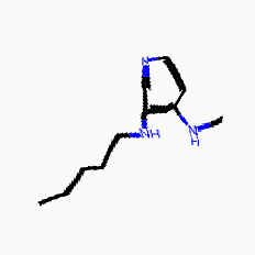 CCCCCNc1cnccc1NC